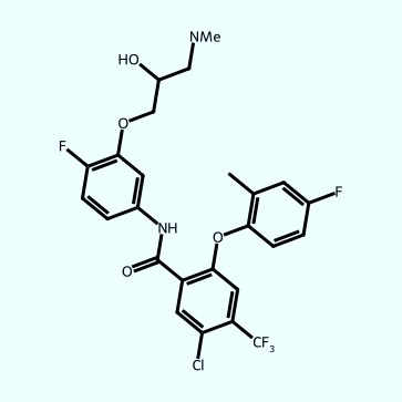 CNCC(O)COc1cc(NC(=O)c2cc(Cl)c(C(F)(F)F)cc2Oc2ccc(F)cc2C)ccc1F